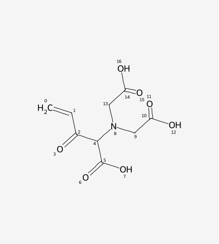 C=CC(=O)C(C(=O)O)N(CC(=O)O)CC(=O)O